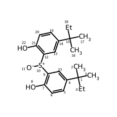 CCC(C)(C)c1ccc(O)c([S+]([O-])c2cc(C(C)(C)CC)ccc2O)c1